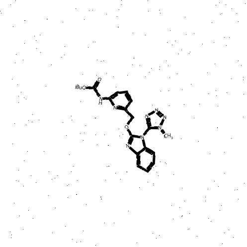 CC(C)COC(=O)Nc1cccc(COc2nc3ccccc3n2-c2nnnn2C)n1